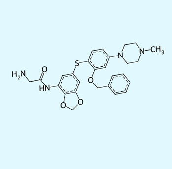 CN1CCN(c2ccc(Sc3cc(NC(=O)CN)c4c(c3)OCO4)c(OCc3ccccc3)c2)CC1